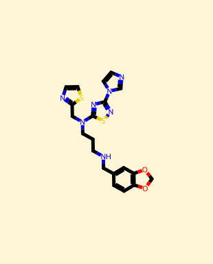 c1cn(-c2nsc(N(CCCNCc3ccc4c(c3)OCO4)Cc3nccs3)n2)cn1